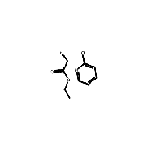 CCOC(=O)CF.Clc1ccccn1